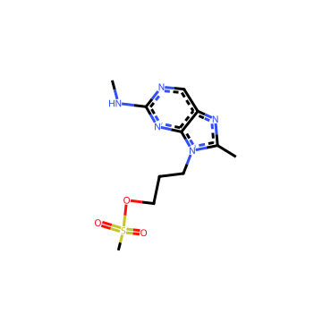 CNc1ncc2nc(C)n(CCCOS(C)(=O)=O)c2n1